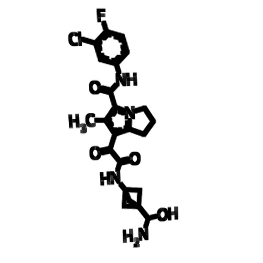 Cc1c(C(=O)C(=O)NC23CC(C(N)O)(C2)C3)c2n(c1C(=O)Nc1ccc(F)c(Cl)c1)CCC2